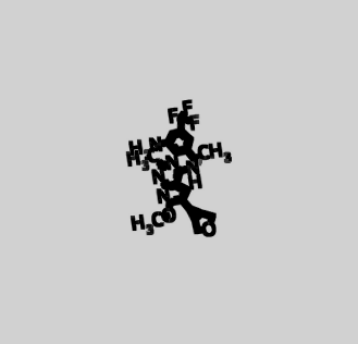 COc1nc2nc(C)nc(N[C@H](C)c3cc(N)cc(C(F)(F)F)c3)c2cc1C1C2COCC21